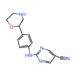 N#Cc1cnc(Nc2ccc(C3CNCCO3)cc2)nc1